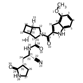 COc1cccc2[nH]c(C(=O)N3C[C@@H]4CC[C@@H]4[C@H]3C(=O)N[C@H](C#N)C[C@@H]3CCNC3=O)cc12